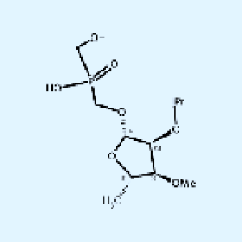 CO[C@@H]1[C@H](OC(C)C)[C@@H](OCP(=O)(O)CO)O[C@H]1C